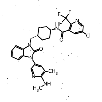 CNc1ncc(-n2c(=O)n(C[C@H]3CC[C@H](NC(=O)c4cc(Cl)cnc4C(F)(F)F)CC3)c3ccccc32)cc1C